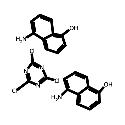 Clc1nc(Cl)nc(Cl)n1.Nc1cccc2c(O)cccc12.Nc1cccc2c(O)cccc12